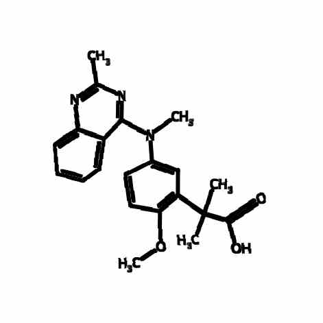 COc1ccc(N(C)c2nc(C)nc3ccccc23)cc1C(C)(C)C(=O)O